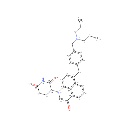 CCCN(CCC)Cc1ccc(Cc2ccc(N(C)C3CCC(=O)NC3=O)c3c(C=O)cccc23)cc1